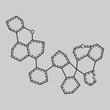 c1ccc2c(c1)Oc1ccc(-c3ccccc3-c3cccc4c3-c3ccccc3C43c4ccccc4-c4cccc5cccc3c45)c3cccc-2c13